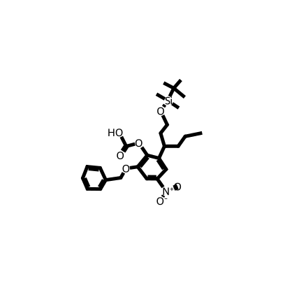 CCCC(CCO[Si](C)(C)C(C)(C)C)c1cc([N+](=O)[O-])cc(OCc2ccccc2)c1OC(=O)O